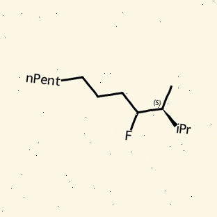 CCCCCCCCC(F)[C@@H](C)C(C)C